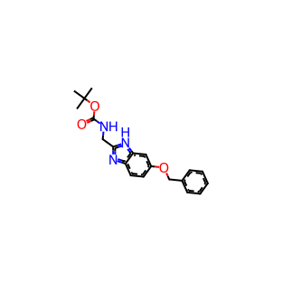 CC(C)(C)OC(=O)NCc1nc2ccc(OCc3ccccc3)cc2[nH]1